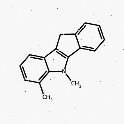 Cc1cccc2c3c(n(C)c12)-c1ccccc1C3